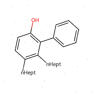 CCCCCCCc1ccc(O)c(-c2ccccc2)c1CCCCCCC